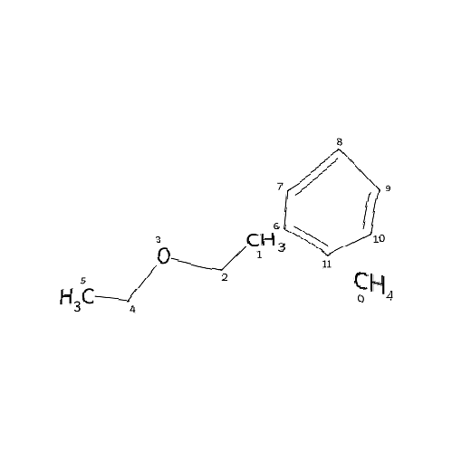 C.CCOCC.c1ccccc1